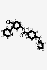 O=C(Nc1ccc(Cl)c(-c2ccccn2)c1)c1ccc(Cn2cccn2)cc1